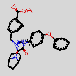 CN(Cc1ccc(C(=O)O)cc1)C1CC2CCC(C1)N2CC(=O)Nc1ccc(Oc2ccccc2)cc1